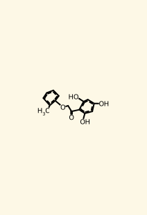 Cc1ccccc1OCC(=O)c1c(O)cc(O)cc1O